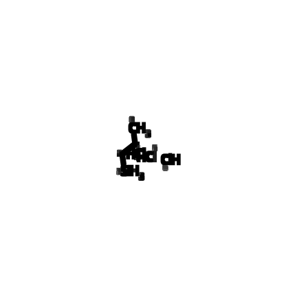 CCC[SiH3].Cl.Cl.Cl